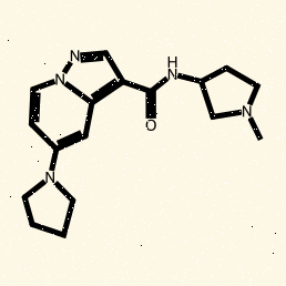 CN1CCC(NC(=O)c2cnn3ccc(N4CCCC4)cc23)C1